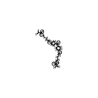 C=C(C)C(=O)OCCCCCOc1ccc(C(=O)c2ccc(OCCCCCOC(=O)C(=C)C)cc2)cc1